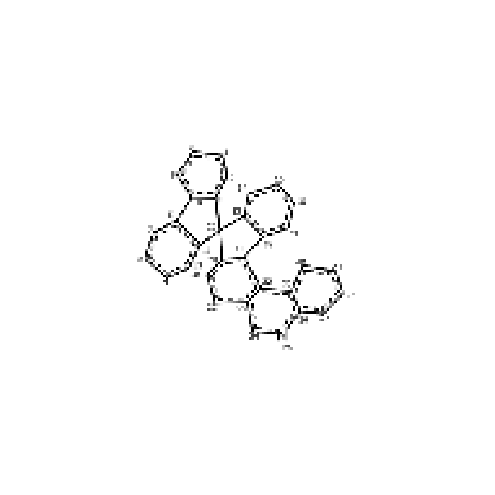 c1ccc2c(c1)-c1ccccc1C21c2ccccc2-c2c1ccc1cnc3ccccc3c21